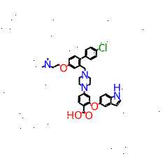 CN(C)CCOc1ccc(-c2ccc(Cl)cc2)c(CN2CCN(c3ccc(C(=O)O)c(Oc4ccc5[nH]ccc5c4)c3)CC2)c1